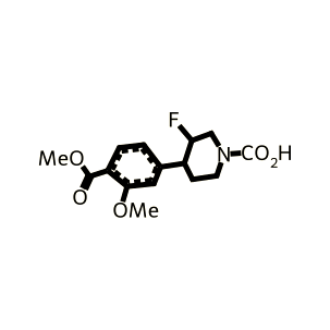 COC(=O)c1ccc(C2CCN(C(=O)O)CC2F)cc1OC